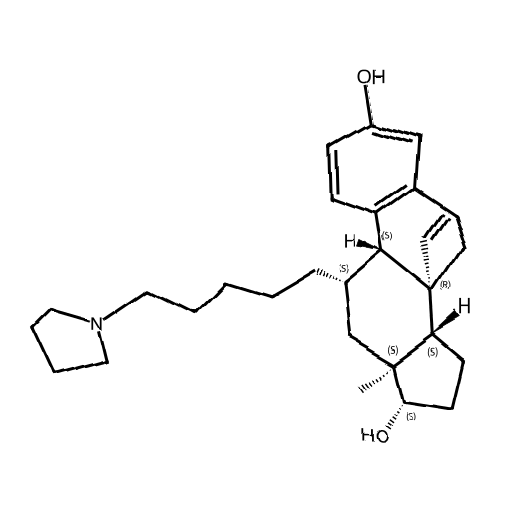 C=C[C@@]12CCc3cc(O)ccc3[C@H]1[C@@H](CCCCCN1CCCC1)C[C@@]1(C)[C@H]2CC[C@@H]1O